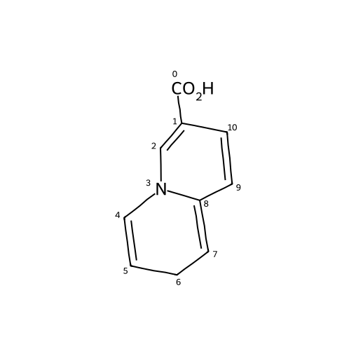 O=C(O)C1=CN2C=CCC=C2C=C1